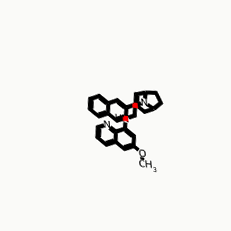 COc1cc(NCCN2C3C=C(c4ccc5ccccc5c4)CC2CC3)c2ncccc2c1